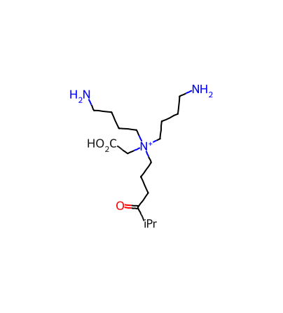 CC(C)C(=O)CCC[N+](CCCCN)(CCCCN)CC(=O)O